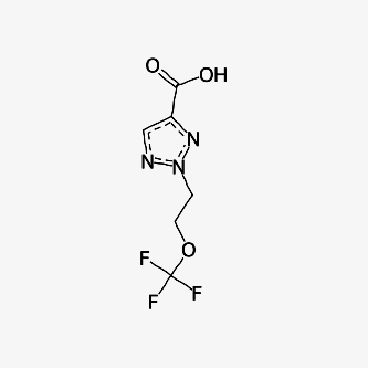 O=C(O)c1cnn(CCOC(F)(F)F)n1